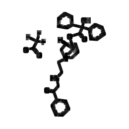 O=C(CNCC[N+]12CCC(CC1)[C@@H](OC(=O)C(O)(c1ccccc1)c1ccccc1)C2)c1ccccc1.O=C([O-])C(F)(F)F